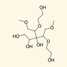 COCC(OCCO)C(O)(C(O)CO)C(COC)OCCO